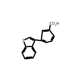 O=C(O)c1cccc(-c2csc3ccccc23)c1